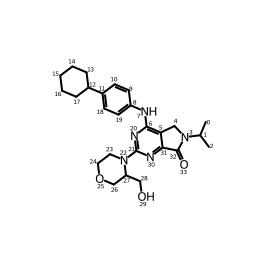 CC(C)N1Cc2c(Nc3ccc(C4CCCCC4)cc3)nc(N3CCOCC3CO)nc2C1=O